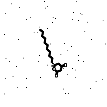 CCCCCCCCCCC[C@@H]1CC(=O)CC(=O)O1